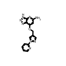 Nc1cc(OCc2cnn(-c3ccccn3)c2)c2nn[nH]c2n1